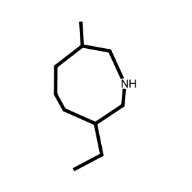 CCC1CCCC(C)CNC1